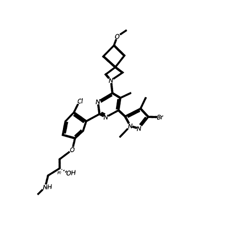 CNC[C@@H](O)COc1ccc(Cl)c(-c2nc(-c3c(C)c(Br)nn3C)c(C)c(N3CC4(CC(OC)C4)C3)n2)c1